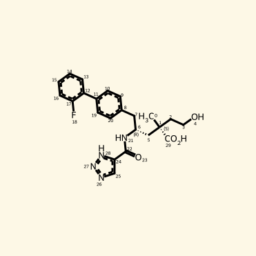 C[C@@](CCO)(C[C@@H](Cc1ccc(-c2ccccc2F)cc1)NC(=O)c1cnn[nH]1)C(=O)O